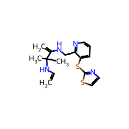 C=CNC(C)(C)C(=C)NCc1ncccc1Sc1nccs1